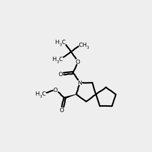 COC(=O)[C@@H]1CC2(CCCC2)CN1C(=O)OC(C)(C)C